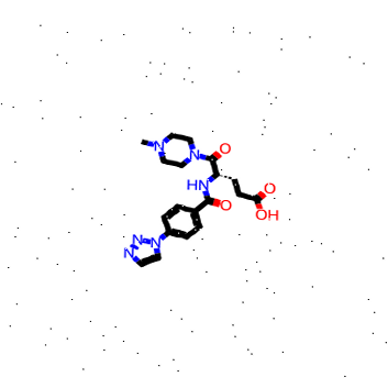 CN1CCN(C(=O)[C@H](CCC(=O)O)NC(=O)c2ccc(-n3ccnn3)cc2)CC1